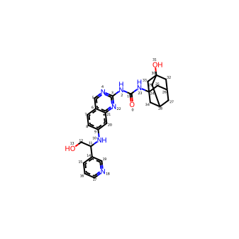 O=C(Nc1ncc2ccc(NC(CO)c3cccnc3)cc2n1)NC12CC3CC(CC(O)(C3)C1)C2